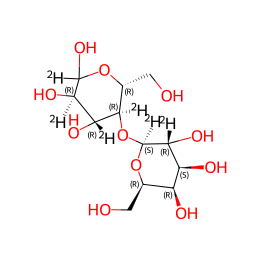 [2H]C1(O)O[C@H](CO)[C@@]([2H])(O[C@]2([2H])O[C@H](CO)[C@H](O)[C@H](O)[C@@]2([2H])O)[C@]([2H])(O)[C@@]1([2H])O